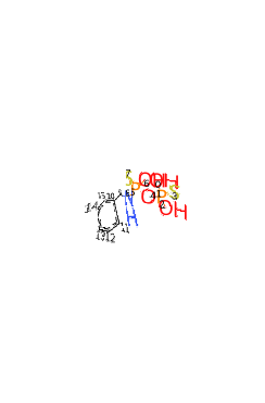 OP(O)(=S)OP(O)(=S)NCc1ccccc1